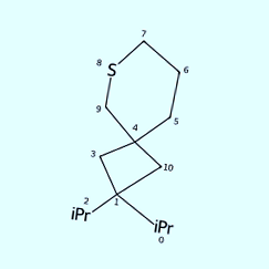 CC(C)C1(C(C)C)CC2(CCCSC2)C1